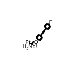 CCC(N)(CC)COc1ccc(C#Cc2ccc(F)cc2)cc1